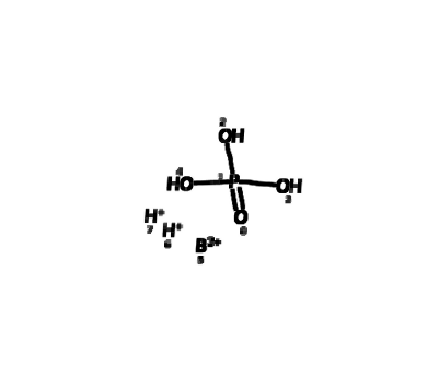 O=P(O)(O)O.[B+3].[H+].[H+]